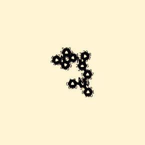 c1ccc(-c2cc(-c3ccccc3)nc(-c3cccc(-c4ccc5c(c4)c4ccccc4n5-c4cccc(-c5cccc6c7ccccc7n(-c7ccccc7)c56)c4)c3)n2)cc1